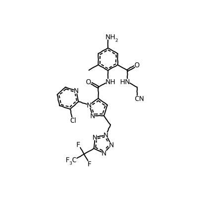 Cc1cc(N)cc(C(=O)NCC#N)c1NC(=O)c1cc(Cn2nnc(C(F)(F)C(F)(F)F)n2)nn1-c1ncccc1Cl